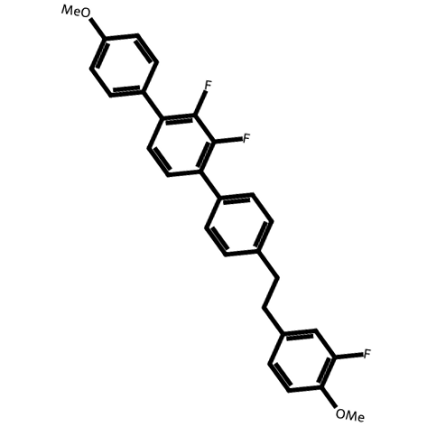 COc1ccc(-c2ccc(-c3ccc(CCc4ccc(OC)c(F)c4)cc3)c(F)c2F)cc1